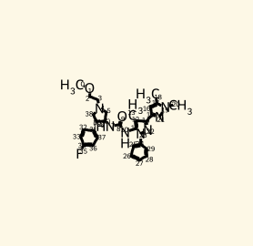 COCCN1C[C@@H](NC(=O)Nc2c(C)c(-c3cc(C)n(C)n3)nn2-c2ccccc2)[C@H](c2ccc(F)cc2)C1